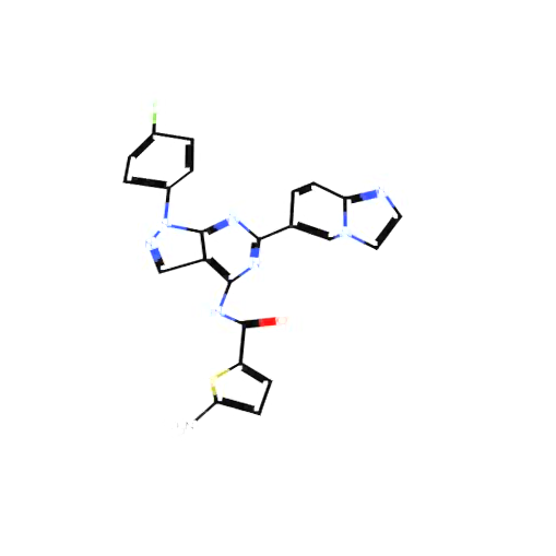 O=C(Nc1nc(-c2ccc3nccn3c2)nc2c1cnn2-c1ccc(F)cc1)c1ccc([N+](=O)[O-])s1